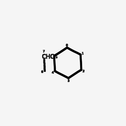 C1CCCCC1.CC=O